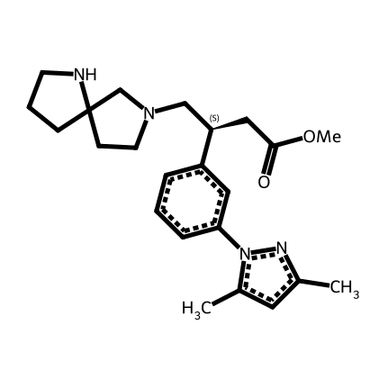 COC(=O)C[C@H](CN1CCC2(CCCN2)C1)c1cccc(-n2nc(C)cc2C)c1